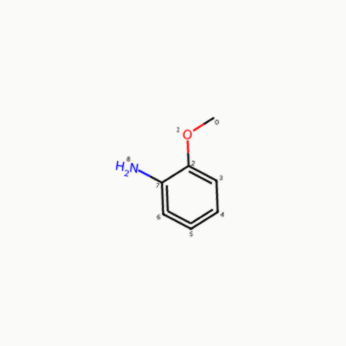 COC1=CC=C=C=C1N